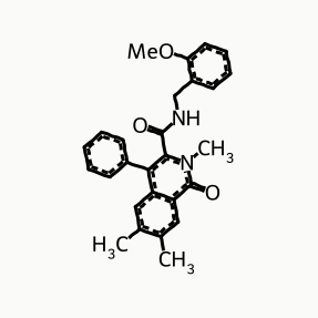 COc1ccccc1CNC(=O)c1c(-c2ccccc2)c2cc(C)c(C)cc2c(=O)n1C